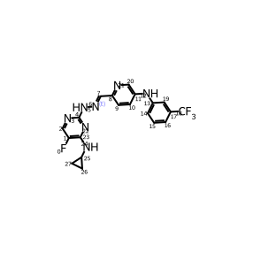 Fc1cnc(N/N=C/c2ccc(Nc3cccc(C(F)(F)F)c3)cn2)nc1NC1CC1